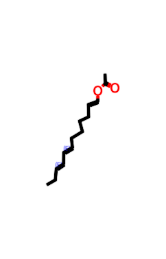 CC/C=C/C=C/CCCCC=COC(C)=O